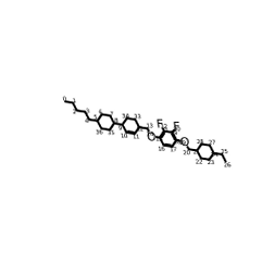 CCCCCC1CCC(C2C=CC(COc3ccc(OCC4CCC(CC)CC4)c(F)c3F)CC2)CC1